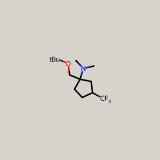 CN(C)C1(COC(C)(C)C)CCC(C(F)(F)F)C1